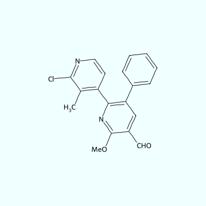 COc1nc(-c2ccnc(Cl)c2C)c(-c2ccccc2)cc1C=O